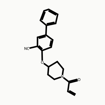 C=CC(=O)N1CCC(Oc2ccc(-c3ccccc3)cc2C#N)CC1